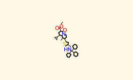 CCOC(=O)c1cc(C2CC2)c2c(C)c(-c3cc(CNC(c4ccccc4)(c4ccccc4)c4ccccc4)cs3)ccn2c1=O